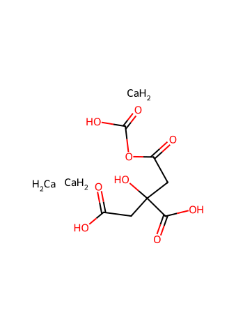 O=C(O)CC(O)(CC(=O)OC(=O)O)C(=O)O.[CaH2].[CaH2].[CaH2]